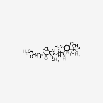 C=CC(=O)N1CC[C@@H](NC(=O)c2c(Cl)nc(CNC(=N)c3cc(C(C)(C)C)c(Cl)cc3N)n2C)C1